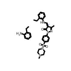 CCc1ccccc1N.CCc1ccccc1N/C=C1\C(=O)N(c2ccc(S(=O)(=O)N3CCN(C)CC3)cc2)N=C1C